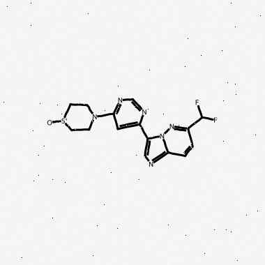 [O-][S+]1CCN(c2cc(-c3cnc4ccc(C(F)F)nn34)ncn2)CC1